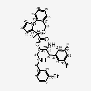 CCc1cccc(CNC[C@@H](OC(=O)C2(C)OCc3ccccc3-n3cccc32)[C@@H](N)Cc2cc(F)cc(F)c2)c1